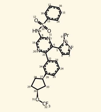 CC(C)n1nccc1-c1nc(NS(=O)(=O)c2ccccc2)cnc1-c1cccc([C@@H]2CC[C@H](OC(F)(F)F)C2)c1